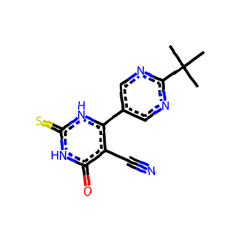 CC(C)(C)c1ncc(-c2[nH]c(=S)[nH]c(=O)c2C#N)cn1